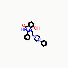 O=C1NC(c2ccccc2)N(CCN2CCN(c3ccccc3)CC2)c2c(O)cccc21